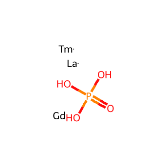 O=P(O)(O)O.[Gd].[La].[Tm]